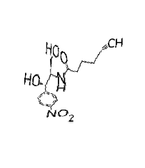 C#CCCCC(=O)N[C@H](CO)[C@H](O)c1ccc([N+](=O)[O-])cc1